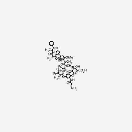 CC[C@H](C)[C@@H]([C@@H](CC(=O)N1CCC[C@H]1[C@H](OC)[C@@H](C)C(=O)N[C@H](C)[C@@H](O)c1ccccc1)OC)N(C)C(=O)N(C)C(=O)[C@@H](NC(=O)[C@H](C(C)C)N(C)C(=O)Oc1ccc(O[C@@H]2O[C@H](C(=O)O)[C@@H](O)[C@H](O)[C@H]2O)c(NC(=O)CCN)c1)C(C)C